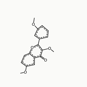 COc1cccc(-c2oc3ccc(OC)cc3c(=O)c2OC)c1